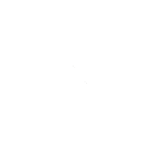 Cc1ccc(C(=O)c2ccc(CC(=O)ON(C)C)n2C)cc1